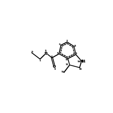 CCOC(=O)c1cccc2c1C(C)CN2